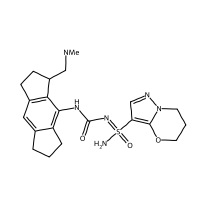 CNCC1CCc2cc3c(c(NC(=O)N=S(N)(=O)c4cnn5c4OCCC5)c21)CCC3